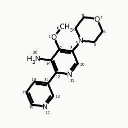 COc1c(N2CCOCC2)cnc(-c2cccnc2)c1N